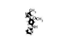 COc1cc(Nc2n[c]ccn2)ccc1-n1cnc(C)c1